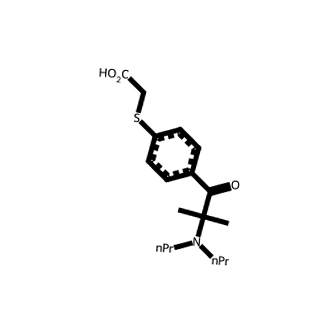 CCCN(CCC)C(C)(C)C(=O)c1ccc(SCC(=O)O)cc1